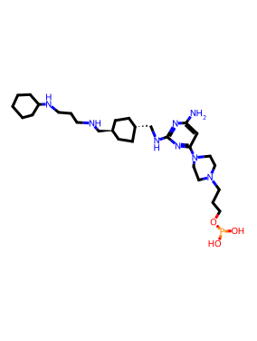 Nc1cc(N2CCN(CCCOP(O)O)CC2)nc(NC[C@H]2CC[C@H](CNCCCNC3CCCCC3)CC2)n1